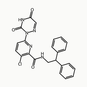 O=C(NCC(c1ccccc1)c1ccccc1)c1nc(-n2ncc(=O)[nH]c2=O)ccc1Cl